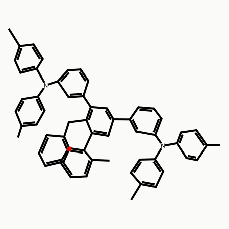 Cc1ccc(N(c2ccc(C)cc2)c2cccc(-c3cc(-c4cccc(N(c5ccc(C)cc5)c5ccc(C)cc5)c4)c(Cc4ccccc4)c(-c4ccccc4C)c3)c2)cc1